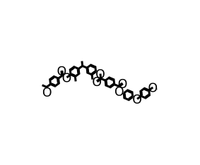 COc1ccc(Oc2ccc(OC(=O)c3ccc(C(=O)Oc4ccc(C(C)c5ccc(OC(=O)c6ccc(C(C)=O)cc6)c(C)c5)cc4C)cc3)cc2)cc1